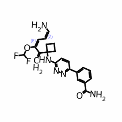 C=C(/C(=C\C=C/N)OC(F)F)C1(Nc2ccc(-c3cccc(C(N)=O)c3)nn2)CCC1